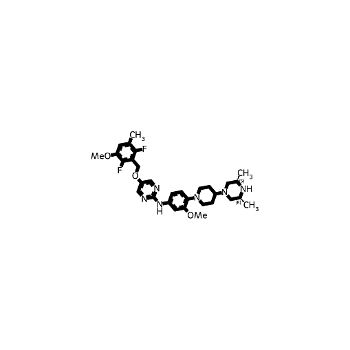 COc1cc(Nc2ncc(OCc3c(F)c(C)cc(OC)c3F)cn2)ccc1N1CCC(N2C[C@@H](C)N[C@@H](C)C2)CC1